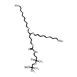 CCCCCCCCCCCCCCCCCCOCC(CCCOC(=O)NCCC(C)(CC)OCC(C)(C)OC)OCCCCCCCCCCCCCCCCCC